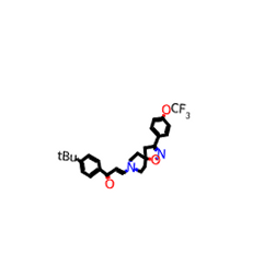 CC(C)(C)c1ccc(C(=O)C=CN2CCC3(CC2)CC(c2ccc(OC(F)(F)F)cc2)=NO3)cc1